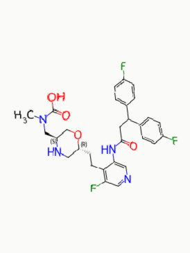 CN(C[C@H]1CO[C@H](CCc2c(F)cncc2NC(=O)CC(c2ccc(F)cc2)c2ccc(F)cc2)CN1)C(=O)O